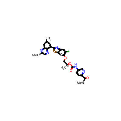 CNC(=O)c1ccc(NC(=O)O[C@H](C)COc2cc3sc(-c4cc(C)cc5nc(OC)cnc45)nc3cc2F)cn1